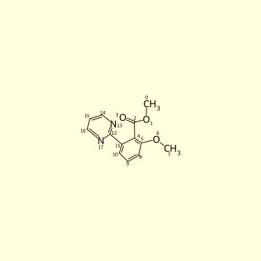 COC(=O)c1c(OC)cccc1-c1ncccn1